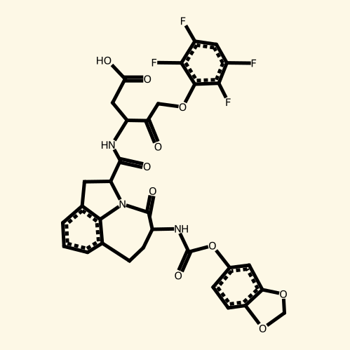 O=C(O)CC(NC(=O)C1Cc2cccc3c2N1C(=O)C(NC(=O)Oc1ccc2c(c1)OCO2)CC3)C(=O)COc1c(F)c(F)cc(F)c1F